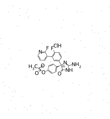 CS(=O)(=O)Oc1ccc([C@@]2(c3ccc(F)c(-c4cccnc4F)c3)N=C(N)NC2=O)cc1.Cl